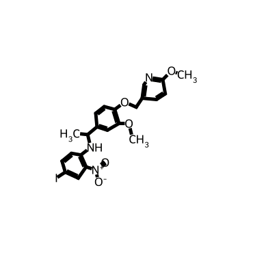 COc1ccc(COc2ccc(C(C)Nc3ccc(I)cc3[N+](=O)[O-])cc2OC)cn1